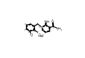 Br.N=c1c(C(N)=O)cccn1Cc1cccc(Cl)c1F